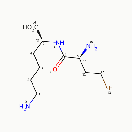 NCCCC[C@H](NC(=O)[C@@H](N)CCS)C(=O)O